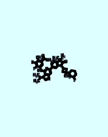 Cc1c(C(N)=O)cc(Nc2nc(-c3cnc4c(c3)N(C3CC(C)(N5CCCC(F)C5)C3)C(=O)C4(C)C)cc3ncn(C(C)C)c23)c(F)c1F